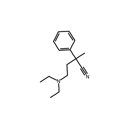 CCN(CC)CCC(C)(C#N)c1ccccc1